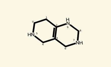 C1CC2=C(CN1)CNCN2